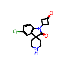 O=C1CC(N2C(=O)C3(CCNCC3)c3cc(Cl)ccc32)C1